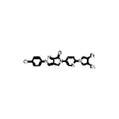 CCC1CN(c2ccc(N3Cc4cn(-c5ccc(Cl)cc5)nc4C3=O)cn2)CC1CC